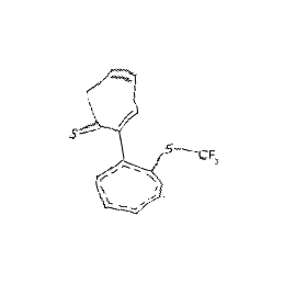 FC(F)(F)Sc1[c]cccc1C1=CC=CCC1=S